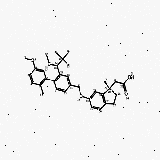 COc1ccc(F)c(-c2ccc(COc3ccc4c(c3)[C@](C)(CC(=O)O)CC4)cc2[C@@H](OC)C(C)(C)C)c1